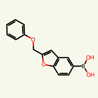 OB(O)c1ccc2oc(COc3ccccc3)cc2c1